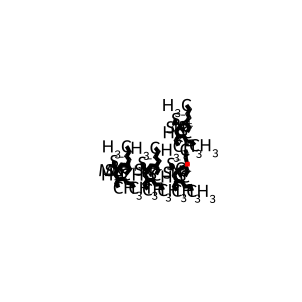 CCCCC(CC)C[N+]([S-])(CC(CC)CCCC)C(=S)[S-].CCCCC(CC)C[N+]([S-])(CC(CC)CCCC)C(=S)[S-].CCCCC(CC)C[N+]([S-])(CC(CC)CCCC)C(=S)[S-].CCCCC(CC)C[N+]([S-])(CC(CC)CCCC)C(=S)[S-].[Mo+4]